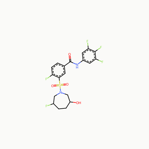 O=C(Nc1cc(F)c(F)c(F)c1)c1ccc(F)c(S(=O)(=O)N2CC(O)CCC(F)C2)c1